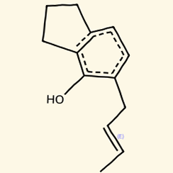 C/C=C/Cc1ccc2c(c1O)CCC2